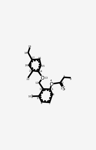 CCC(=S)Oc1cccc(I)c1COc1ccc(CC)cc1C